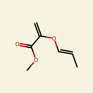 C=C(OC=CC)C(=O)OC